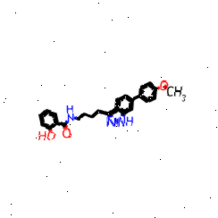 COc1ccc(-c2ccc3c(CCCCNC(=O)c4ccccc4O)n[nH]c3c2)cc1